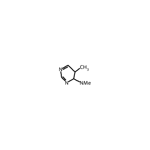 CNC1N=CN=CC1C